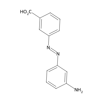 Nc1cccc(/N=N/c2cccc(C(=O)O)c2)c1